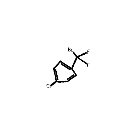 FC(F)(Br)c1ccc(Cl)cc1